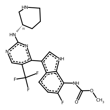 COC(=O)Nc1c(F)ccc2c(-c3nc(N[C@H]4CCCNC4)ncc3C(F)(F)F)c[nH]c12